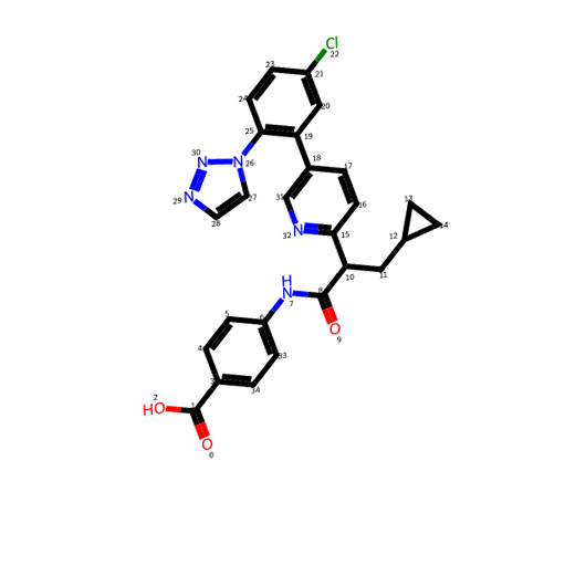 O=C(O)c1ccc(NC(=O)C(CC2CC2)c2ccc(-c3cc(Cl)ccc3-n3ccnn3)cn2)cc1